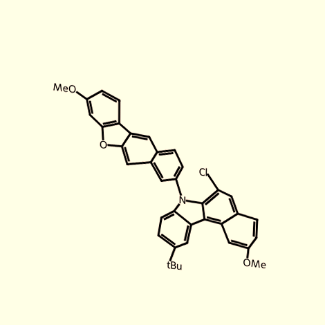 COc1ccc2c(c1)oc1cc3cc(-n4c5ccc(C(C)(C)C)cc5c5c6cc(OC)ccc6cc(Cl)c54)ccc3cc12